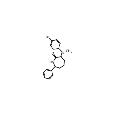 C[C@@H](C1C=CC(Br)=CC1)N1CCCC(c2ccccc2)NC1=O